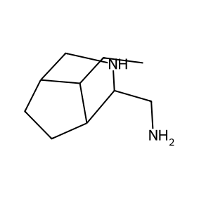 CCC1C2CCC1C(CN)NC2